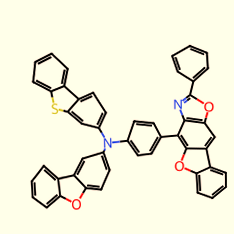 c1ccc(-c2nc3c(-c4ccc(N(c5ccc6c(c5)sc5ccccc56)c5ccc6oc7ccccc7c6c5)cc4)c4oc5ccccc5c4cc3o2)cc1